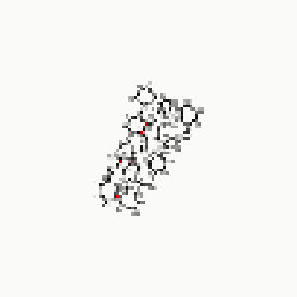 c1ccc(-c2ccc(-c3ccccc3N(c3ccc4c(c3)C3(c5ccccc5Oc5ccccc53)c3ccccc3-4)c3cccc4cc5c(cc34)C3(c4ccccc4Sc4ccccc43)c3ccccc3-5)cc2)cc1